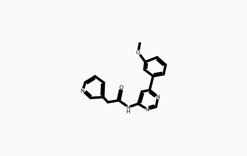 COc1cccc(-c2cc(NC(=O)Cc3cccnc3)ncn2)c1